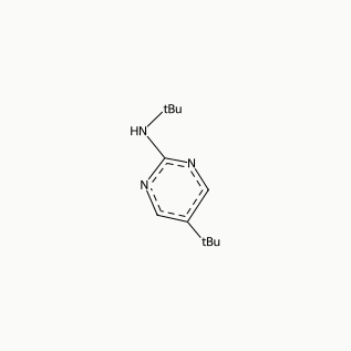 CC(C)(C)Nc1ncc(C(C)(C)C)cn1